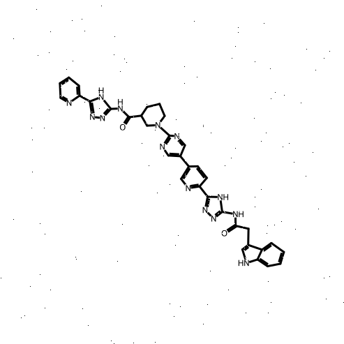 O=C(Cc1c[nH]c2ccccc12)Nc1nnc(-c2ccc(-c3cnc(N4CCCC(C(=O)Nc5nnc(-c6ccccn6)[nH]5)C4)nc3)cn2)[nH]1